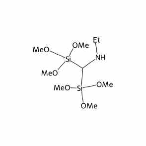 CCNC([Si](OC)(OC)OC)[Si](OC)(OC)OC